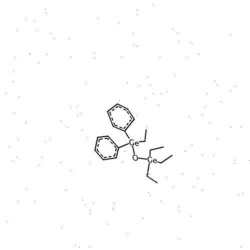 C[CH2][Ge]([CH2]C)([CH2]C)[O][Ge]([CH2]C)([c]1ccccc1)[c]1ccccc1